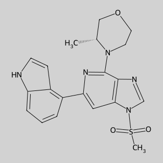 C[C@@H]1COCCN1c1nc(-c2cccc3[nH]ccc23)cc2c1ncn2S(C)(=O)=O